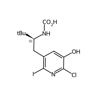 CC(C)(C)[C@H](Cc1cc(O)c(Cl)nc1I)NC(=O)O